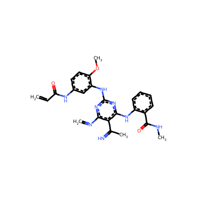 C=CC(=O)Nc1ccc(OC)c(Nc2nc(N=C)c(C(C)=N)c(Nc3ccccc3C(=O)NC)n2)c1